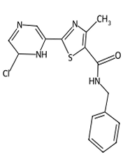 Cc1nc(C2=CN=CC(Cl)N2)sc1C(=O)NCc1ccccc1